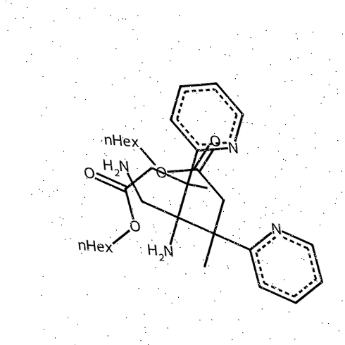 CCCCCCOC(=O)CC(C)(c1ccccn1)C(N)(CN)C(C)(CC(=O)OCCCCCC)c1ccccn1